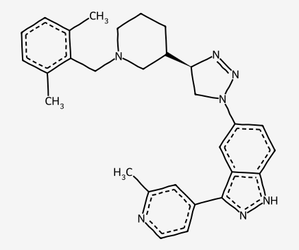 Cc1cc(-c2n[nH]c3ccc(N4C[C@@H](C5CCCN(Cc6c(C)cccc6C)C5)N=N4)cc23)ccn1